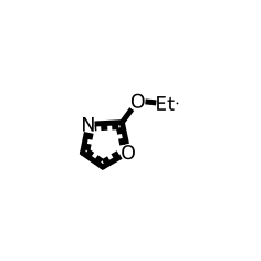 C[CH]Oc1ncco1